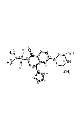 C[C@@H]1CN(c2ccc3c(=O)c(S(=O)(=O)N(C)C)cn(-c4nccs4)c3n2)C[C@H](C)N1